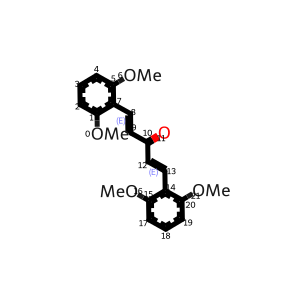 COc1cccc(OC)c1/C=C/C(=O)/C=C/c1c(OC)cccc1OC